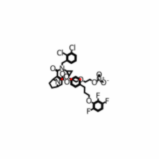 O=C(C1=C(Oc2ccc(CCCOc3c(F)ccc(F)c3F)cc2)CC2CCC1N2C(=O)OCCOCCO[N+](=O)[O-])N(Cc1cccc(Cl)c1Cl)C1CC1